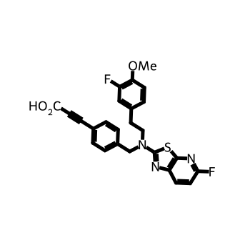 COc1ccc(CCN(Cc2ccc(C#CC(=O)O)cc2)c2nc3ccc(F)nc3s2)cc1F